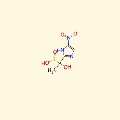 CC(O)(c1ncc([N+](=O)[O-])[nH]1)S(=O)O